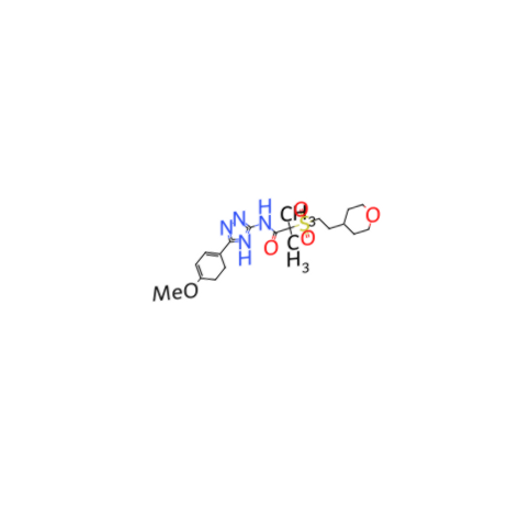 COC1=CC=C(c2nnc(NC(=O)C(C)(C)S(=O)(=O)CCC3CCOCC3)[nH]2)CC1